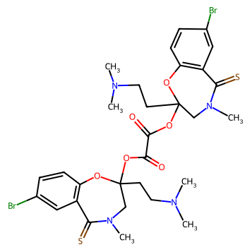 CN(C)CCC1(OC(=O)C(=O)OC2(CCN(C)C)CN(C)C(=S)c3cc(Br)ccc3O2)CN(C)C(=S)c2cc(Br)ccc2O1